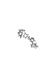 COc1cc([C@H]2CC[C@H](COc3cc(C(CC(=O)O)C4CC4)ccn3)CC2)c(F)cn1